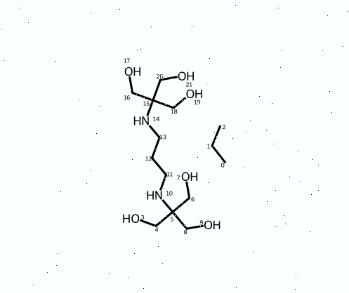 CCC.OCC(CO)(CO)NCCCNC(CO)(CO)CO